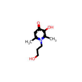 Cc1cc(=O)c(O)c(C)n1CCCO